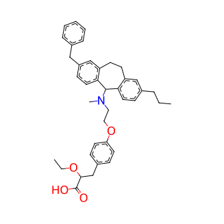 CCCc1ccc2c(c1)CCc1cc(Cc3ccccc3)ccc1C2N(C)CCOc1ccc(CC(OCC)C(=O)O)cc1